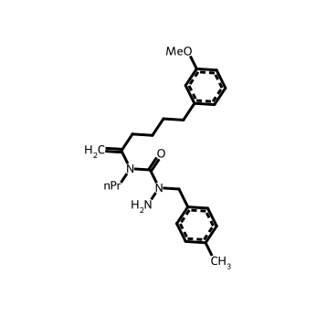 C=C(CCCCc1cccc(OC)c1)N(CCC)C(=O)N(N)Cc1ccc(C)cc1